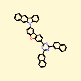 c1ccc2cc(-c3nc(-c4ccc5ccccc5c4)nc(-c4ccc5c(c4)oc4ccc(-n6c7ccccc7c7cc8ccccc8cc76)cc45)n3)ccc2c1